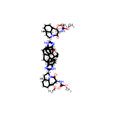 COC(=O)N[C@@H]1C(=O)N2C3C(CCC[C@H]3C[C@H]2c2nc3cc(-c4cc5ccc4CCc4ccc(c(-c6ccc7[nH]c([C@@H]8C[C@@H]9CCCC%10C9N8C(=O)[C@@H](NC(=O)OC)[C@@H]%10OC)nc7c6)c4)CC5)ccc3[nH]2)[C@H]1OC